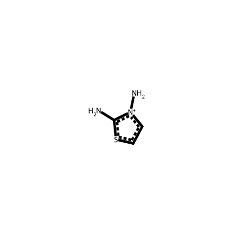 Nc1scc[n+]1N